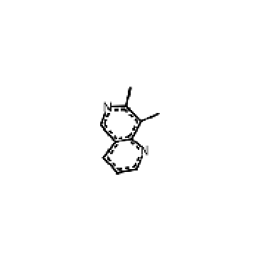 Cc1ncc2cccnc2c1C